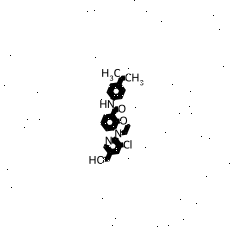 CC(C)c1ccc(NC(=O)c2cccc3c2OCCN3c2ncc(CO)cc2Cl)cc1